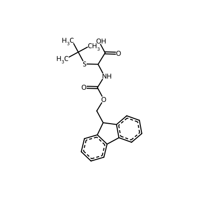 CC(C)(C)SC(NC(=O)OCC1c2ccccc2-c2ccccc21)C(=O)O